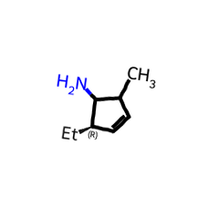 CC[C@@H]1C=CC(C)C1N